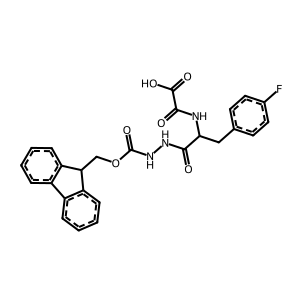 O=C(NNC(=O)C(Cc1ccc(F)cc1)NC(=O)C(=O)O)OCC1c2ccccc2-c2ccccc21